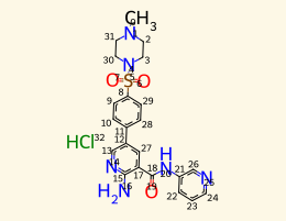 CN1CCN(S(=O)(=O)c2ccc(-c3cnc(N)c(C(=O)Nc4cccnc4)c3)cc2)CC1.Cl